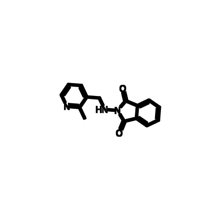 Cc1ncccc1CNN1C(=O)c2ccccc2C1=O